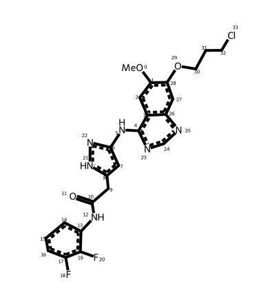 COc1cc2c(Nc3cc(CC(=O)Nc4cccc(F)c4F)[nH]n3)ncnc2cc1OCCCCl